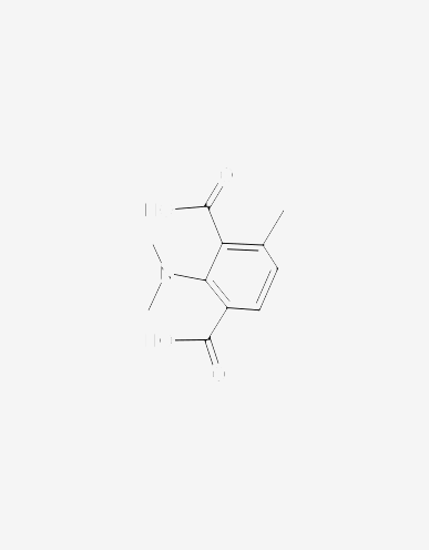 Cc1ccc(C(=O)O)c(N(C)C)c1C(=O)O